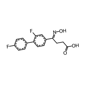 O=C(O)CCC(=NO)c1ccc(-c2ccc(F)cc2)c(F)c1